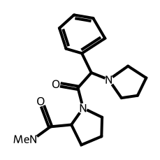 CNC(=O)C1CCCN1C(=O)C(c1ccccc1)N1CCCC1